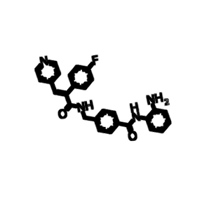 Nc1ccccc1NC(=O)c1ccc(CNC(=O)C(=Cc2ccncc2)c2ccc(F)cc2)cc1